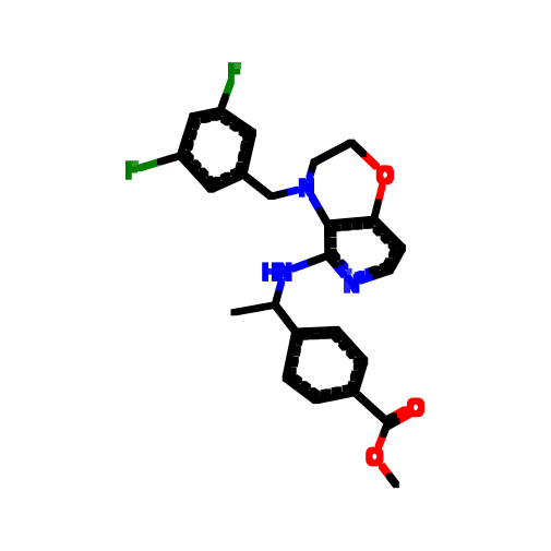 COC(=O)c1ccc(C(C)Nc2nccc3c2N(Cc2cc(F)cc(F)c2)CCO3)cc1